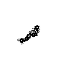 O=C(NC1CCc2ccc(C(=O)N3CCC4(CCN(Cc5ccc(F)cc5F)CC4)CC3)cc21)c1c(F)cccc1Cl